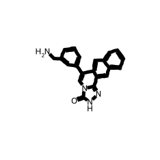 NCc1cccc(-c2cn3c(=O)[nH]nc3c3cc4ccccc4cc23)c1